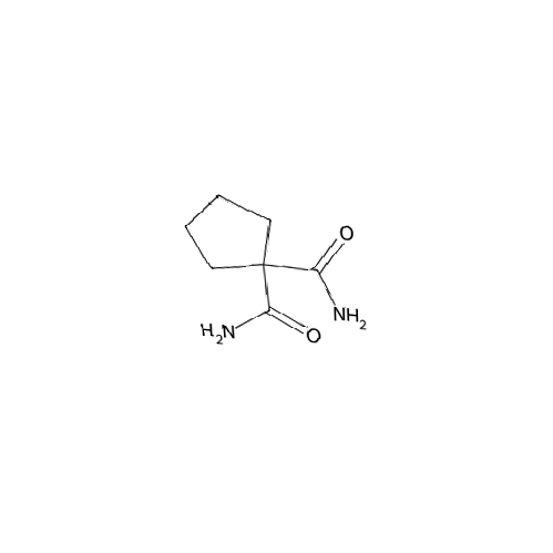 NC(=O)C1(C(N)=O)CCCC1